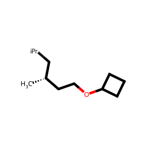 CC(C)C[C@@H](C)CCOC1CCC1